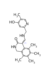 Cc1cnc(CN/C=C2\C(=O)NCc3c(C)c(C)c(C)c(C)c32)cc1O